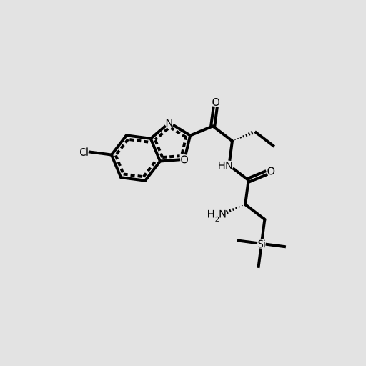 CC[C@H](NC(=O)[C@@H](N)C[Si](C)(C)C)C(=O)c1nc2cc(Cl)ccc2o1